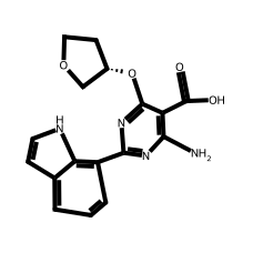 Nc1nc(-c2cccc3cc[nH]c23)nc(O[C@H]2CCOC2)c1C(=O)O